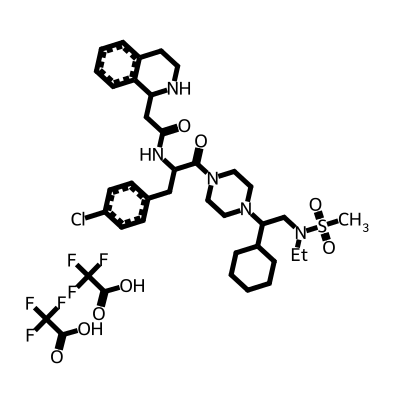 CCN(CC(C1CCCCC1)N1CCN(C(=O)C(Cc2ccc(Cl)cc2)NC(=O)CC2NCCc3ccccc32)CC1)S(C)(=O)=O.O=C(O)C(F)(F)F.O=C(O)C(F)(F)F